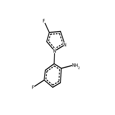 Nc1ccc(F)cc1-n1cc(F)cn1